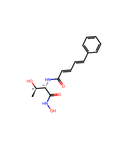 C[C@@H](O)[C@H](NC(=O)C=CC=Cc1ccccc1)C(=O)NO